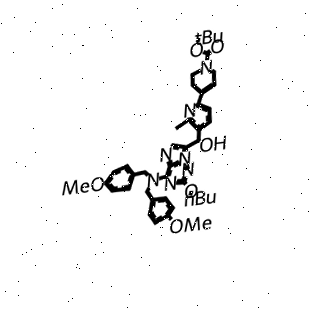 CCCCOc1nc(N(Cc2ccc(OC)cc2)Cc2ccc(OC)cc2)c2ncc(C(O)c3ccc(C4=CCN(C(=O)OC(C)(C)C)CC4)nc3C)n2n1